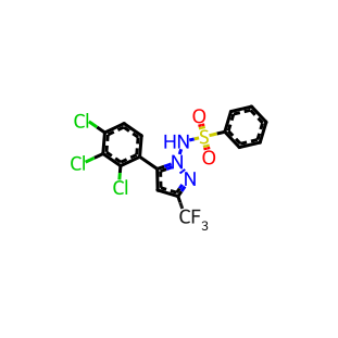 O=S(=O)(Nn1nc(C(F)(F)F)cc1-c1ccc(Cl)c(Cl)c1Cl)c1ccccc1